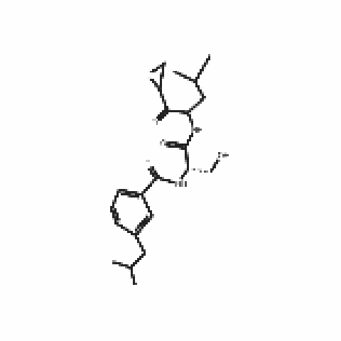 CC(C)Cc1cccc(C(=O)N[C@@H](CO)C(=O)NC(CC(C)C)C(=O)C2CO2)c1